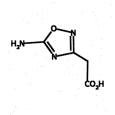 Nc1nc(CC(=O)O)no1